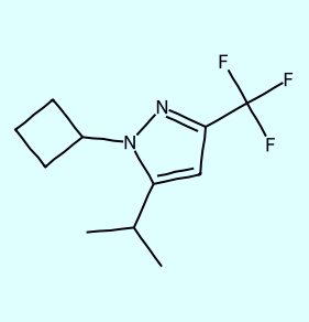 CC(C)c1cc(C(F)(F)F)nn1C1CCC1